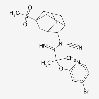 CC(C)(Oc1cc(Br)ccn1)C(=N)N(C#N)C1C2CC3CC1CC(S(C)(=O)=O)(C3)C2